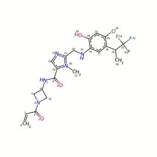 C=CC(=O)N1CC(NC(=O)c2cnc(CNc3cc(C(C)C(F)(F)F)c(Cl)cc3O)n2C)C1